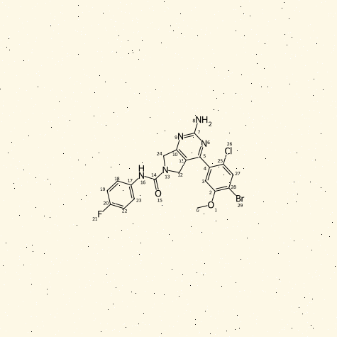 COc1cc(-c2nc(N)nc3c2CN(C(=O)Nc2ccc(F)cc2)C3)c(Cl)cc1Br